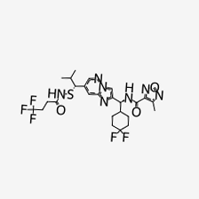 Cc1nonc1C(=O)N[C@H](c1cn2ncc([C@H](SNC(=O)CCC(F)(F)F)C(C)C)cc2n1)C1CCC(F)(F)CC1